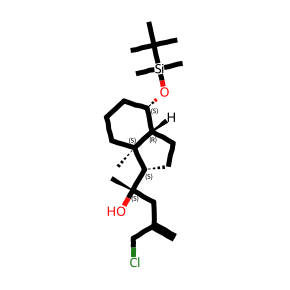 C=C(CCl)C[C@](C)(O)[C@H]1CC[C@H]2[C@@H](O[Si](C)(C)C(C)(C)C)CCC[C@@]21C